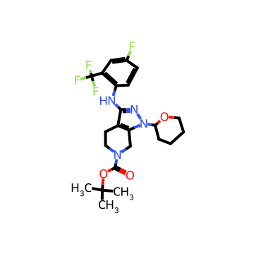 CC(C)(C)OC(=O)N1CCc2c(Nc3ccc(F)cc3C(F)(F)F)nn(C3CCCCO3)c2C1